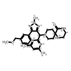 COCc1cccc(-c2nn(C)nc2C(c2nc(C)cc(C)n2)N2CCC3(CC2)NCCNC3=O)c1